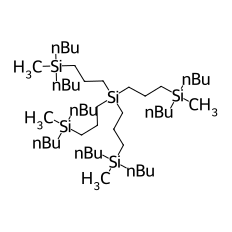 CCCC[Si](C)(CCCC)CCC[Si](CCC[Si](C)(CCCC)CCCC)(CCC[Si](C)(CCCC)CCCC)CCC[Si](C)(CCCC)CCCC